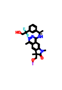 Cc1nnc(N[C@H](C)c2cccc(C(F)(F)CO)c2)c2cc3c(cc12)C(C)(COI)C(=O)N3C